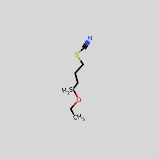 CCO[SiH2]CCCSC#N